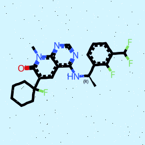 C[C@@H](Nc1ncnc2c1cc(C1(F)CCCCC1)c(=O)n2C)c1cccc(C(F)F)c1F